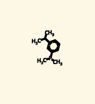 CC(C)c1cccc(P(C)C)c1